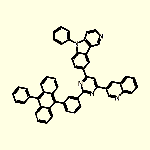 c1ccc(-c2c3ccccc3c(-c3cccc(-c4nc(-c5cnc6ccccc6c5)cc(-c5ccc6c(c5)c5cnccc5n6-c5ccccc5)n4)c3)c3ccccc23)cc1